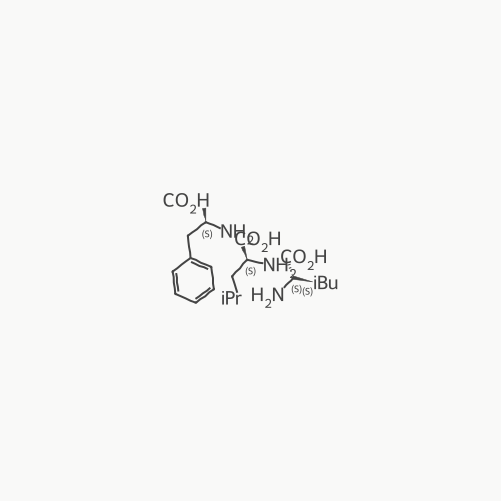 CC(C)C[C@H](N)C(=O)O.CC[C@H](C)[C@H](N)C(=O)O.N[C@@H](Cc1ccccc1)C(=O)O